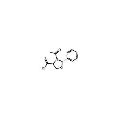 CC(=O)N1[C@H](C(=O)O)CS[C@H]1c1ccccc1